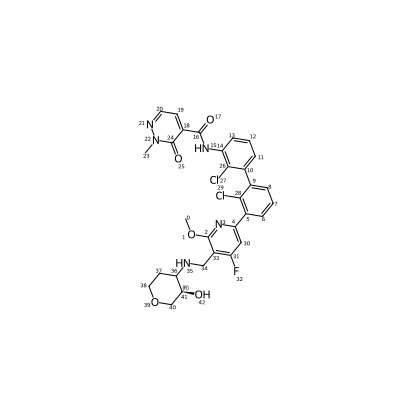 COc1nc(-c2cccc(-c3cccc(NC(=O)c4ccnn(C)c4=O)c3Cl)c2Cl)cc(F)c1CNC1CCOC[C@@H]1O